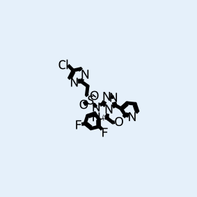 O=S(=O)(CCc1ncc(Cl)cn1)Nc1nnc2n1[C@@H](c1ccc(F)cc1F)COc1ncccc1-2